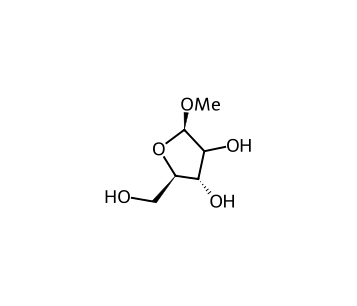 CO[C@@H]1O[C@H](CO)[C@@H](O)C1O